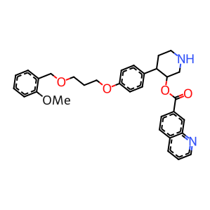 COc1ccccc1COCCCOc1ccc(C2CCNCC2OC(=O)c2ccc3cccnc3c2)cc1